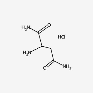 Cl.NC(=O)CC(N)C(N)=O